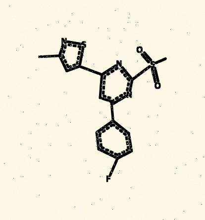 Cc1cc(-c2cc(-c3ccc(F)cc3)nc(S(C)(=O)=O)n2)sn1